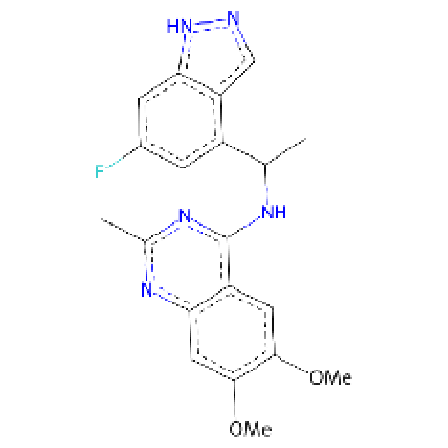 COc1cc2nc(C)nc(NC(C)c3cc(F)cc4[nH]ncc34)c2cc1OC